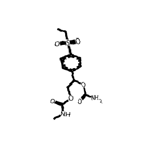 CCS(=O)(=O)c1ccc(C(COC(=O)NC)OC(N)=O)cc1